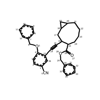 N#Cc1ccc(OCc2ccccc2)c(C#CC2CC3CC3CCCCC2C(=O)OCc2ccccc2)c1